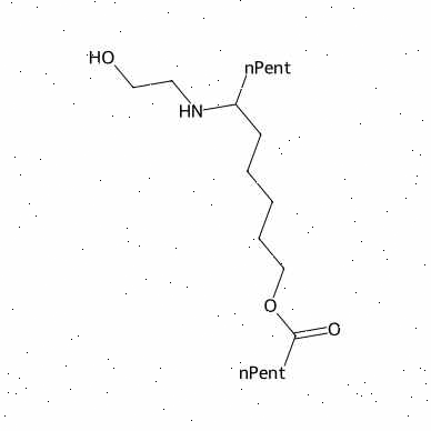 CCCCCC(=O)OCCCCCC(CCCCC)NCCO